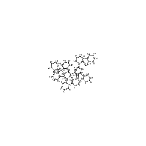 c1ccc(-c2ccc(-c3ccccc3-c3cc(-c4cccc5c4oc4ccccc45)nc(-c4ccc5c(c4)C4(c6ccccc6-c6ccccc64)c4ccccc4-5)n3)cc2)cc1